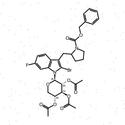 CC(=O)O[C@@H]1[C@@H](OC(C)=O)[C@H](OC(C)=O)CO[C@H]1n1c(Br)c(CC2CCCN2C(=O)OCc2ccccc2)c2ccc(F)cc21